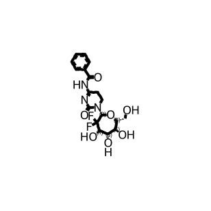 O=C(NC1=NC(=O)N([C@@H]2O[C@H](CO)[C@@H](O)[C@H](O)[C@@H](O)C2(F)F)CC1)c1ccccc1